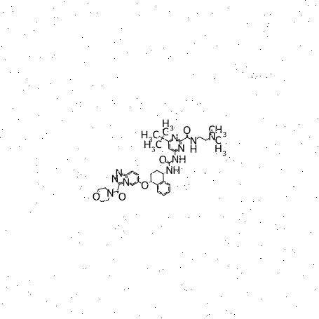 CN(C)CCNC(=O)c1nc(NC(=O)N[C@H]2CC[C@@H](Oc3ccc4nnc(C(=O)N5CCOCC5)n4c3)c3ccccc32)cc(C(C)(C)C)n1